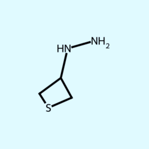 NNC1CSC1